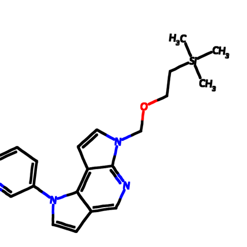 C[Si](C)(C)CCOCn1ccc2c1ncc1ccn(-c3cccnc3)c12